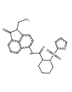 CCN1C(=O)c2cccc3c(NC(=O)C4CCCCN4S(=O)(=O)c4ccco4)ccc1c23